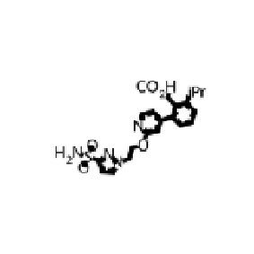 CC(C)c1cccc(-c2ccnc(OCCn3ccc(S(N)(=O)=O)n3)c2)c1CC(=O)O